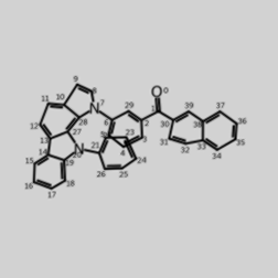 O=C(c1cccc(-n2ccc3ccc4c5ccccc5n(-c5ccccc5)c4c32)c1)c1ccc2ccccc2c1